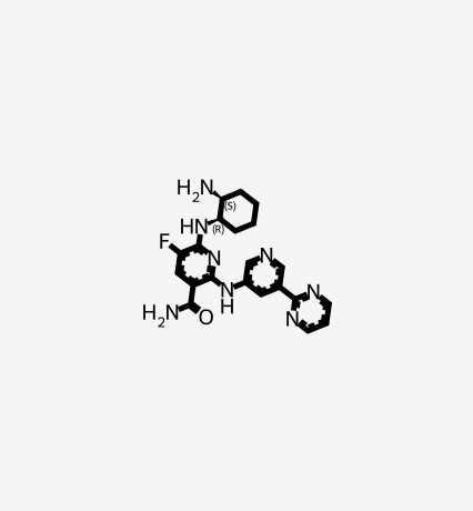 NC(=O)c1cc(F)c(N[C@@H]2CCCC[C@@H]2N)nc1Nc1cncc(-c2ncccn2)c1